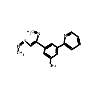 C=N/C(=C\N=N/C)c1cc(-c2ccccn2)cc(C(C)(C)C)c1